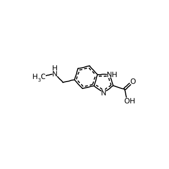 CNCc1ccc2[nH]c(C(=O)O)nc2c1